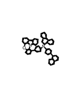 c1cc2c(c(-c3ccc(N(c4ccc(-c5cccc6ccccc56)cc4)c4cc5ccccc5c5ccccc45)cc3)c1)-n1c3ccccc3c3cccc(c31)O2